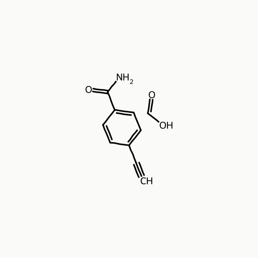 C#Cc1ccc(C(N)=O)cc1.O=CO